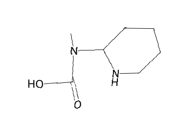 CN(C(=O)O)C1CCCCN1